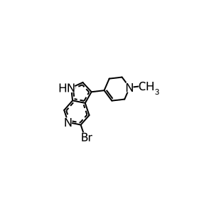 CN1CC=C(c2c[nH]c3cnc(Br)cc23)CC1